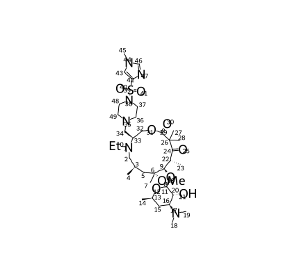 CCN1C[C@H](C)C[C@@](C)(OC)[C@H](O[C@@H]2O[C@H](C)C[C@H](N(C)C)[C@H]2O)[C@@H](C)C(=O)C(C)(C)C(=O)OC[C@@H]1CN1CCN(S(=O)(=O)c2cn(C)cn2)CC1